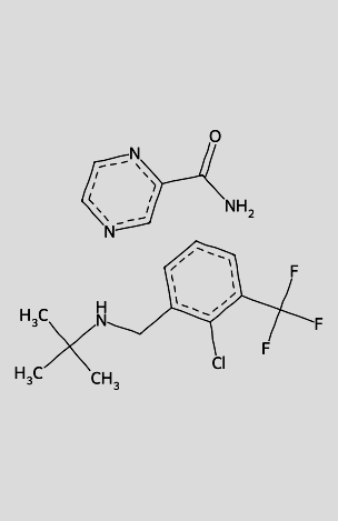 CC(C)(C)NCc1cccc(C(F)(F)F)c1Cl.NC(=O)c1cnccn1